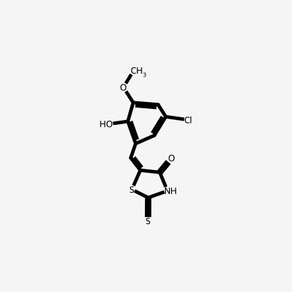 COc1cc(Cl)cc(C=C2SC(=S)NC2=O)c1O